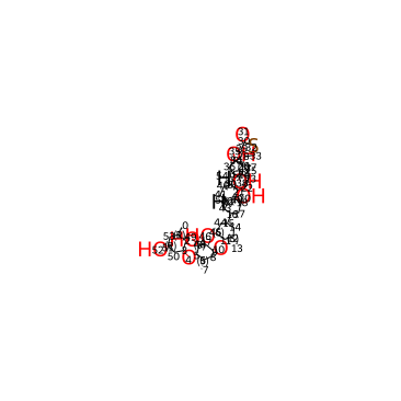 C[C@H]1CC(OC2[C@@H](C)CC(OC3[C@@H](C)CC(C4CC[C@]5(O)C6CC[C@]7(C)[C@@](C)(C8=CC(=O)SC8)[C@H](O)C[C@]7(O)[C@H]6CC[C@H]5C4)C[C@@H]3O)C[C@@H]2O)C[C@H](O)C1